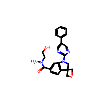 CN(CCO)C(=O)c1ccc2c(c1)N(c1ncc(-c3ccccc3)cn1)CC21COC1